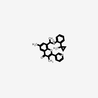 Cc1cc(C(C)Nc2ccccc2C2(C)CC2)c2oc(-c3cccnc3)c(C)c(=O)c2c1